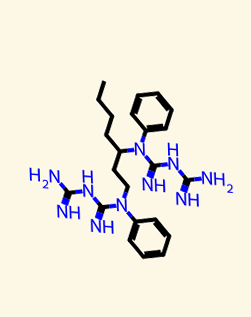 CCCCC(CCN(C(=N)NC(=N)N)c1ccccc1)N(C(=N)NC(=N)N)c1ccccc1